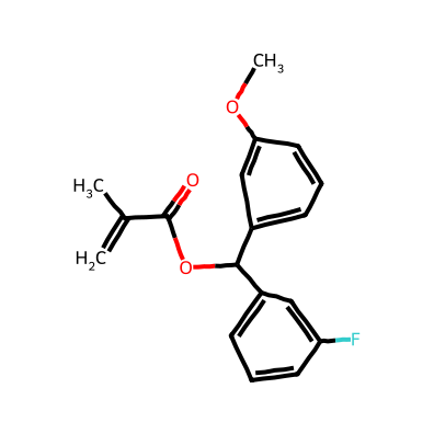 C=C(C)C(=O)OC(c1cccc(F)c1)c1cccc(OC)c1